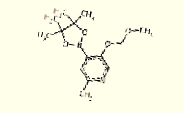 COCOc1cnc(C)cc1B1OC(C)(C)C(C)(C)O1